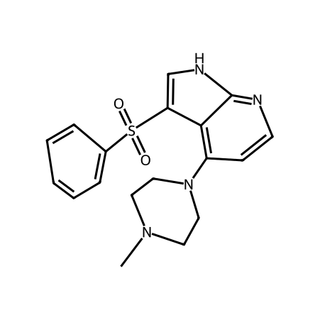 CN1CCN(c2ccnc3[nH]cc(S(=O)(=O)c4ccccc4)c23)CC1